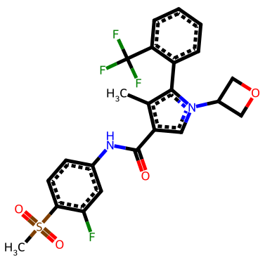 Cc1c(C(=O)Nc2ccc(S(C)(=O)=O)c(F)c2)cn(C2COC2)c1-c1ccccc1C(F)(F)F